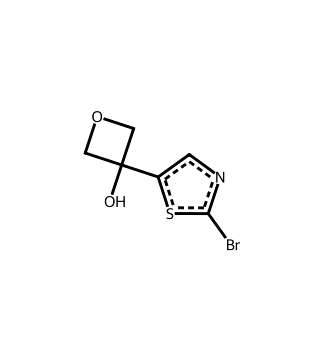 OC1(c2cnc(Br)s2)COC1